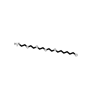 NCCOCCOCCOCCOCCCCCCCl